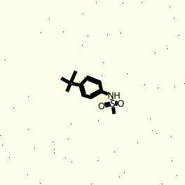 CC(C)(C)c1ccc(NS(C)(=O)=O)cc1